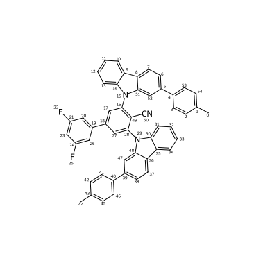 Cc1ccc(-c2ccc3c4ccccc4n(-c4cc(-c5cc(F)cc(F)c5)cc(-n5c6ccccc6c6ccc(-c7ccc(C)cc7)cc65)c4C#N)c3c2)cc1